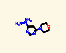 NN(N)c1cc(N2CCOCC2)ncn1